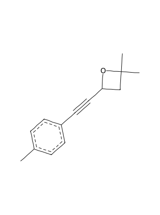 Cc1ccc(C#CC2CC(C)(C)O2)cc1